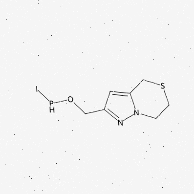 IPOCc1cc2n(n1)CCSC2